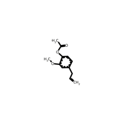 [CH2]C(=O)Oc1ccc(CC=C)cc1OC